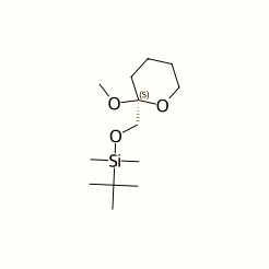 CO[C@@]1(CO[Si](C)(C)C(C)(C)C)CCCCO1